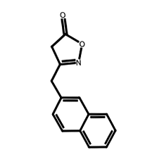 O=C1CC(Cc2ccc3ccccc3c2)=NO1